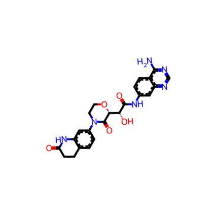 Nc1ncnc2cc(NC(=O)[C@H](O)[C@H]3OCCN(c4ccc5c(c4)NC(=O)CC5)C3=O)ccc12